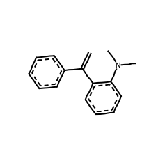 C=C(c1ccccc1)c1ccccc1N(C)C